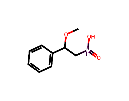 COC(C[PH](=O)O)c1ccccc1